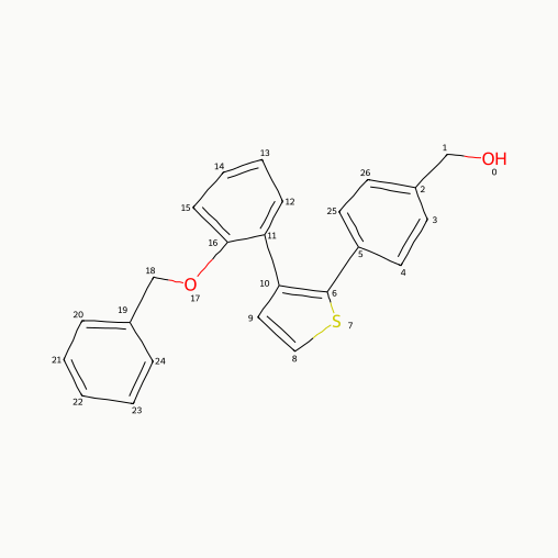 OCc1ccc(-c2sccc2-c2ccccc2OCc2ccccc2)cc1